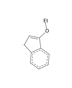 CCOC1=C[CH]c2ccccc21